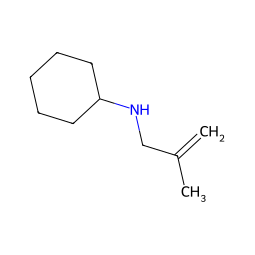 C=C(C)CNC1CCCCC1